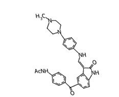 CC(=O)Nc1ccc(C(=O)c2ccc3c(c2)C(=CNc2ccc(N4CCN(C)CC4)cc2)C(=O)N3)cc1